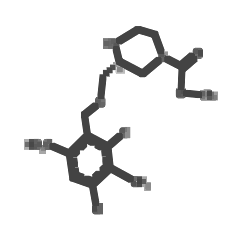 Cc1c(Cl)cc(C(=O)O)c(COC[C@H]2CN(C(=O)OC(C)(C)C)CCN2)c1Cl